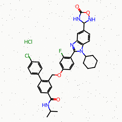 CC(C)NC(=O)c1ccc(-c2ccc(Cl)cc2)c(COc2ccc(-c3nc4cc(C5NOC(=O)N5)ccc4n3C3CCCCC3)c(F)c2)c1.Cl